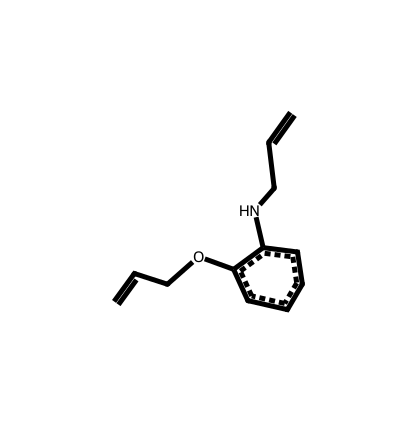 C=CCNc1ccccc1OCC=C